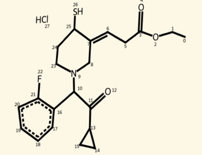 CCOC(=O)CC=C1CN(C(C(=O)C2CC2)c2ccccc2F)CCC1S.Cl